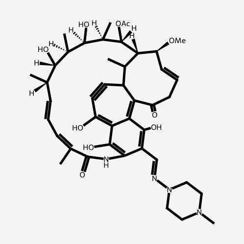 CO[C@H]1/C=C/CC(=O)C2=c3c(O)c(/C=N/N4CCN(C)CC4)c4c(O)c3=C(O)C#CC2C(C)[C@@H]1[C@@H](OC(C)=O)[C@H](C)[C@H](O)[C@H](C)[C@@H](O)[C@@H](C)/C=C/C=C(/C)C(=O)N4